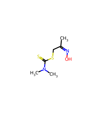 CC(CSC(=S)N(C)C)=NO